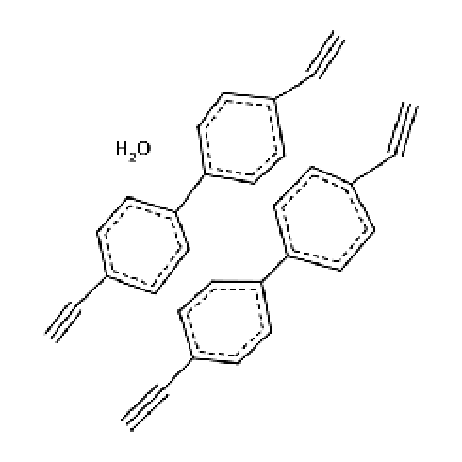 C#Cc1ccc(-c2ccc(C#C)cc2)cc1.C#Cc1ccc(-c2ccc(C#C)cc2)cc1.O